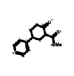 COC(=O)C1CC(c2ccncc2)CCC1=O